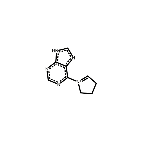 C1=[N+](c2ncnc3[nH]cnc23)CCC1